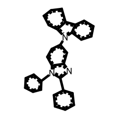 c1ccc(-c2nc3cc(-n4c5ccccc5c5ccccc54)ccc3n2-c2ccccc2)cc1